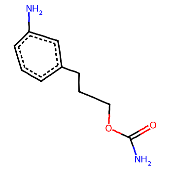 NC(=O)OCCCc1cccc(N)c1